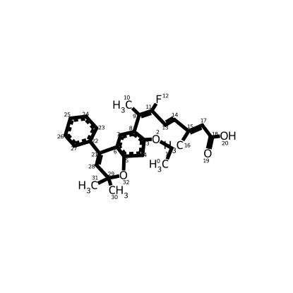 CCOc1cc2c(cc1\C(C)=C(F)/C=C/C(C)=C/C(=O)O)C(c1ccccc1)=CC(C)(C)O2